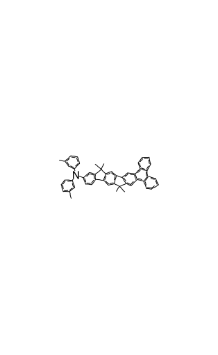 Cc1cccc(N(c2cccc(C)c2)c2ccc3c(c2)C(C)(C)c2cc4c(cc2-3)C(C)(C)c2cc3c5ccccc5c5ccccc5c3cc2-4)c1